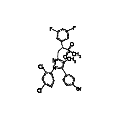 Cc1c(CC(c2cc(F)cc(F)c2)S(C)(=O)=O)nn(-c2ccc(Cl)cc2Cl)c1-c1ccc(Br)cc1